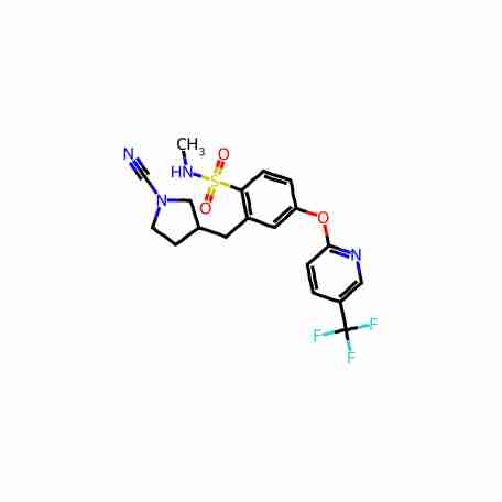 CNS(=O)(=O)c1ccc(Oc2ccc(C(F)(F)F)cn2)cc1CC1CCN(C#N)C1